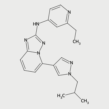 CCc1cc(Nc2nc3cccc(-c4cnn(CC(C)C)c4)n3n2)ccn1